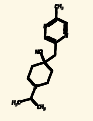 Cc1cnc(CC2(O)CCN(C(C)C)CC2)cn1